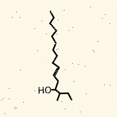 CCCCCCCCCC=CCC(O)C(C)CC